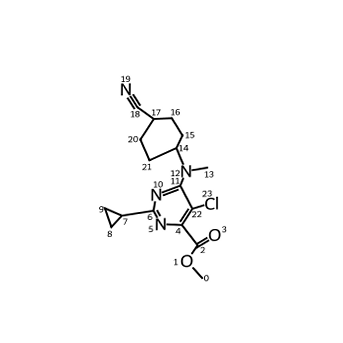 COC(=O)c1nc(C2CC2)nc(N(C)C2CCC(C#N)CC2)c1Cl